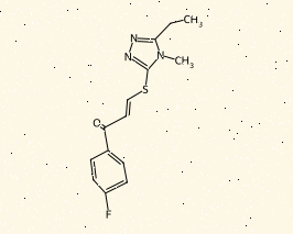 CCc1nnc(S/C=C/C(=O)c2ccc(F)cc2)n1C